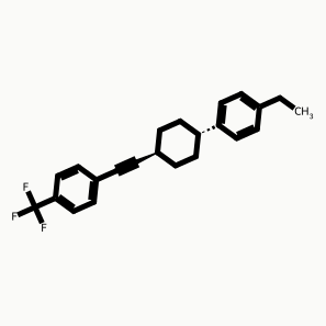 CCc1ccc([C@H]2CC[C@H](C#Cc3ccc(C(F)(F)F)cc3)CC2)cc1